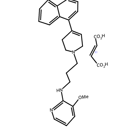 COc1cccnc1NCCCN1CC=C(c2cccc3ccccc23)CC1.O=C(O)/C=C/C(=O)O